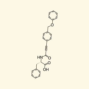 O=C(C#Cc1ccc(COc2ccccc2)cc1)N[C@@H](Cc1ccccc1)C(=O)O